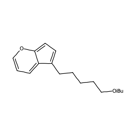 C[C](C)COCCCCCc1ccc2occcc1-2